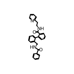 O=C(NCc1ccccc1-c1ccccc1C(=O)NCCc1ccccn1)c1ccccc1